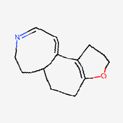 C1=NCCC2CCC3=C(CCO3)C2=C1